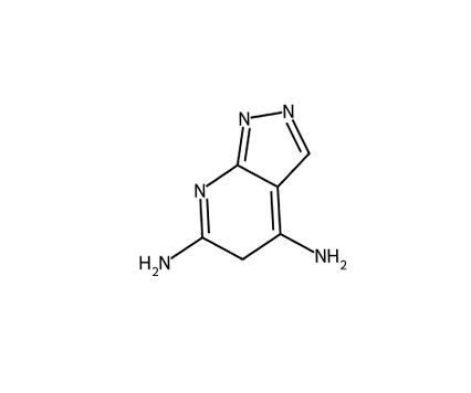 NC1=NC2=NN=CC2=C(N)C1